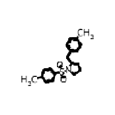 Cc1ccc(CC2CCCN2S(=O)(=O)c2ccc(C)cc2)cc1